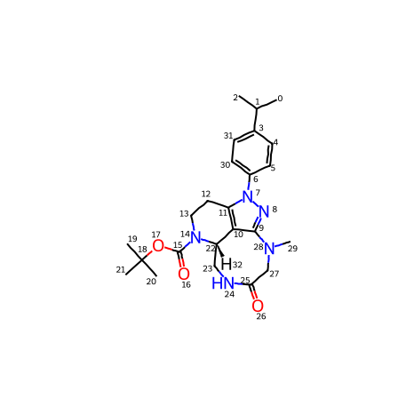 CC(C)c1ccc(-n2nc3c4c2CCN(C(=O)OC(C)(C)C)[C@H]4CNC(=O)CN3C)cc1